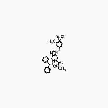 COC(=O)[C@@H]1Cc2c(ncn2Cc2ccc([N+](=O)[O-])c(C)c2)CN1C(=O)C(c1ccccc1)c1ccccc1